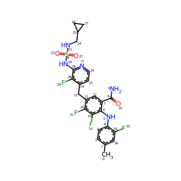 Cc1ccc(Nc2c(C(N)=O)cc(Cc3ccnc(NS(=O)(=O)NCC4CC4)c3F)c(F)c2F)c(F)c1